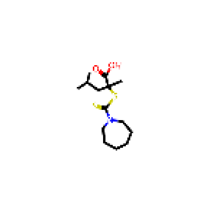 CC(C)CC(C)(SC(=S)N1CCCCCC1)C(=O)O